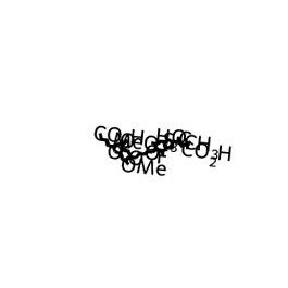 COc1cc2oc(/C=C/CC(=O)O)cc(=O)c2cc1OCCCOc1c(OC)cc2sc(C(=O)CC(C)(C)C(=O)O)cc2c1F